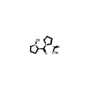 COC(=O)[C@H]1CCCN1C(=O)[C@H]1CCCN1C